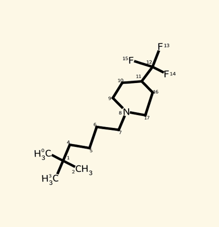 CC(C)(C)CCCCN1CCC(C(F)(F)F)CC1